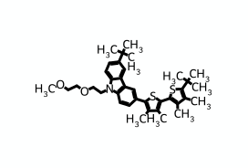 COCCOCCn1c2ccc(-c3sc(-c4sc(C(C)(C)C)c(C)c4C)c(C)c3C)cc2c2cc(C(C)(C)C)ccc21